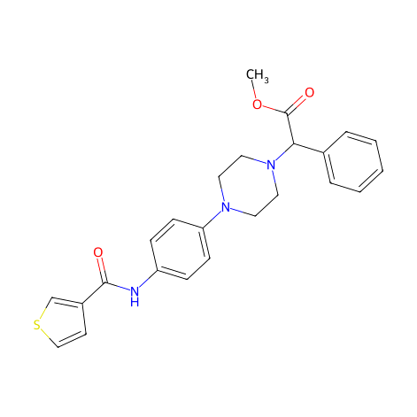 COC(=O)C(c1ccccc1)N1CCN(c2ccc(NC(=O)c3ccsc3)cc2)CC1